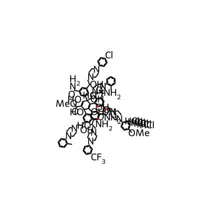 COC(=O)C1=CC(c2cc(C(O)CN3CCN(c4ccc(Cl)cc4)CC3)cc(C(N)=O)c2O)(C(O)CN2CCN(c3ccccc3C)CC2)C(c2cc(C(O)CN3CCN(c4ccc(OC)cc4)CC3)cc(C(N)=O)c2O)=C(c2cc(C(O)CN3CCN(c4cccc(C(F)(F)F)c4)CC3)cc(C(N)=O)c2O)C1(O)c1cc(C(O)CN2CCN(c3ccccc3C)CC2)cc(C(N)=O)c1O.Cl.Cl.Cl.Cl.Cl.Cl